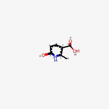 Cc1[nH]c(=O)ccc1C(=O)O